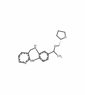 CC(OC[C@@H]1CCCO1)c1ccc2c(c1)NCc1cccnc1N2